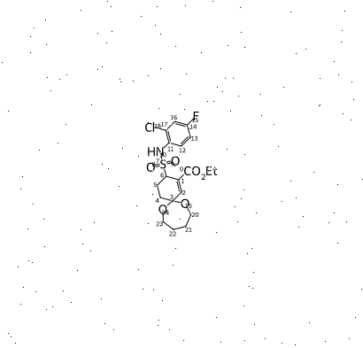 CCOC(=O)C1=CC2(CCC1S(=O)(=O)Nc1ccc(F)cc1Cl)OCCCCO2